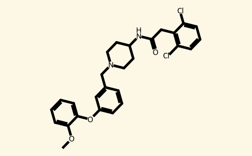 COc1ccccc1Oc1cccc(CN2CCC(NC(=O)Cc3c(Cl)cccc3Cl)CC2)c1